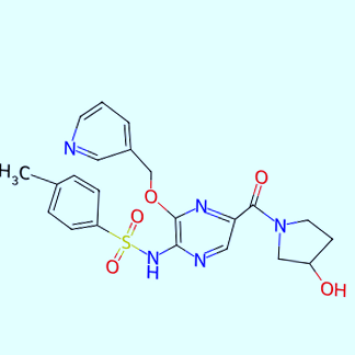 Cc1ccc(S(=O)(=O)Nc2ncc(C(=O)N3CCC(O)C3)nc2OCc2cccnc2)cc1